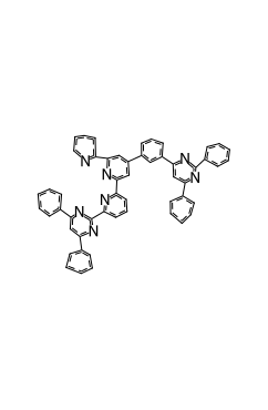 c1ccc(-c2cc(-c3cccc(-c4cc(-c5ccccn5)nc(-c5cccc(-c6nc(-c7ccccc7)cc(-c7ccccc7)n6)n5)c4)c3)nc(-c3ccccc3)n2)cc1